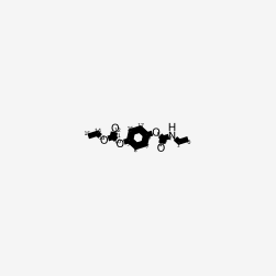 CCNC(=O)Oc1ccc(OC(=O)OCC)cc1